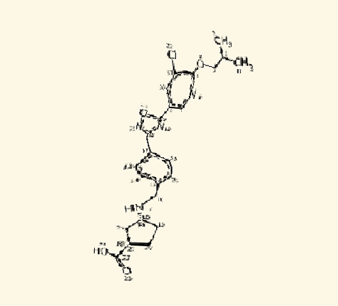 CC(C)COc1ncc(-c2nc(-c3ccc(CN[C@@H]4CC[C@@H](C(=O)O)C4)cc3)no2)cc1Cl